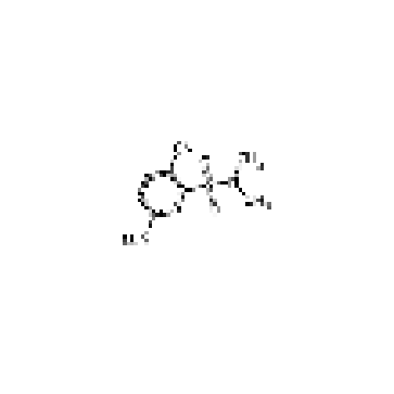 CN(C)S(=O)(=O)c1cc([N+](=O)[O-])ccc1C#N